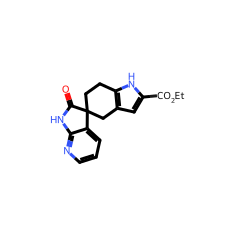 CCOC(=O)c1cc2c([nH]1)CCC1(C2)C(=O)Nc2ncccc21